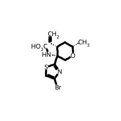 C=C[C@@H]1C[C@H](C)OC[C@@]1(NC(=O)O)c1nc(Br)cs1